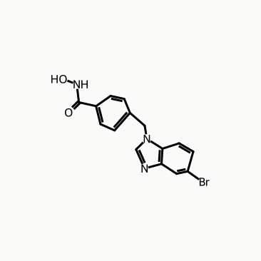 O=C(NO)c1ccc(Cn2cnc3cc(Br)ccc32)cc1